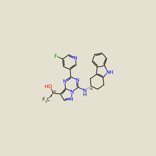 O[C@@H](c1cnn2c(N[C@H]3CCc4[nH]c5ccccc5c4C3)nc(-c3cncc(F)c3)nc12)C(F)(F)F